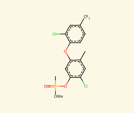 COP(C)(=O)Oc1cc(Oc2ccc(C(F)(F)F)cc2Cl)c(C)cc1Cl